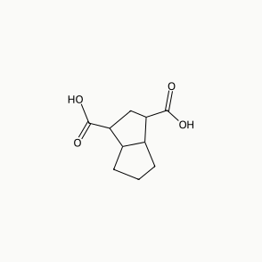 O=C(O)C1CC(C(=O)O)C2CCCC12